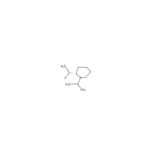 CC(F)[C@@H]1CCCCN1C(C)C